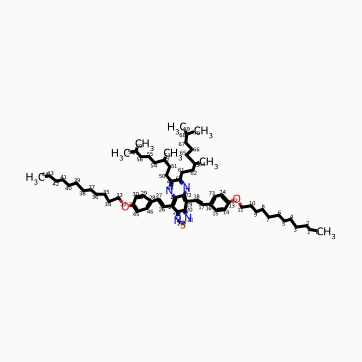 CCCCCCCCCCCCOc1ccc(C=Cc2c3nsnc3c(C=Cc3ccc(OCCCCCCCCCCCC)cc3)c3nc(CCC(C)CCCC(C)C)c(CCC(C)CCCC(C)C)nc23)cc1